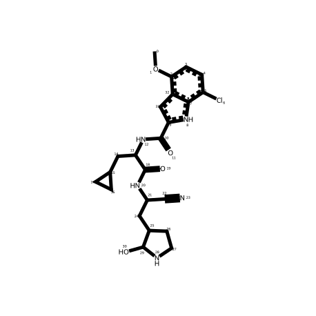 COc1ccc(Cl)c2[nH]c(C(=O)NC(CC3CC3)C(=O)NC(C#N)CC3CCNC3O)cc12